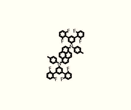 Cc1ccc(N(c2cc(-c3c(F)cccc3F)cc(-c3c(F)cccc3F)c2)c2ccc3ccc4c(N(c5ccc(C)cc5)c5cc(-c6c(F)cccc6F)cc(-c6c(F)cccc6F)c5)ccc5ccc2c3c54)cc1